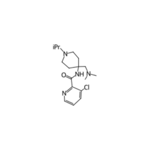 CC(C)N1CCC(CN(C)C)(NC(=O)c2ncccc2Cl)CC1